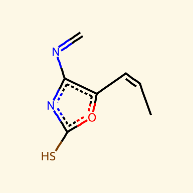 C=Nc1nc(S)oc1/C=C\C